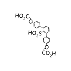 O=C(O)COc1ccc(-c2cccc(-c3ccc(OCC(=O)O)cc3)c2S(=O)(=O)O)cc1